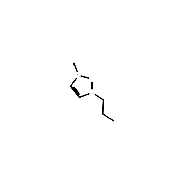 CCCN1[C+]N(C)C=C1.[Cl-]